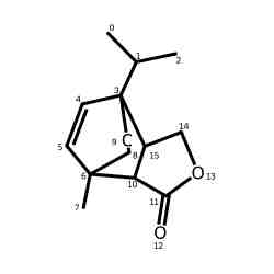 CC(C)C12C=CC(C)(CC1)C1C(=O)OCC12